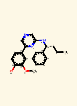 CCC[C@@H](Nc1cncc(-c2ccc(O)c(OC)c2)n1)c1ccccc1